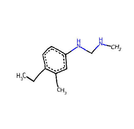 CCc1ccc(NCNC)cc1C